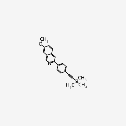 COc1ccc2cc(-c3ccc(C#C[Si](C)(C)C)cc3)ncc2c1